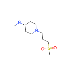 CN(C)C1CCN(CCCS(C)(=O)=O)CC1